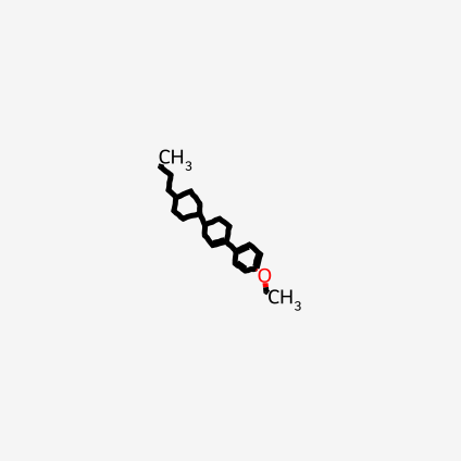 CCCCC1CCC(C2CC=C(c3ccc(OCC)cc3)CC2)CC1